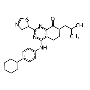 CC(C)CC1CCc2c(Nc3ccc(C4CCCCC4)cc3)nc(C3CN=CS3)nc2C1=O